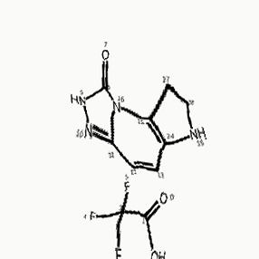 O=C(O)C(F)(F)F.O=c1[nH]nc2ccc3c(n12)CCN3